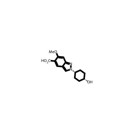 COc1cc2nn([C@H]3CC[C@@H](O)CC3)cc2cc1C(=O)O